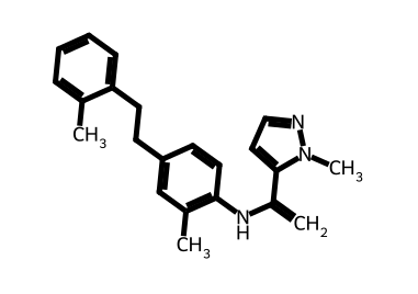 C=C(Nc1ccc(CCc2ccccc2C)cc1C)c1ccnn1C